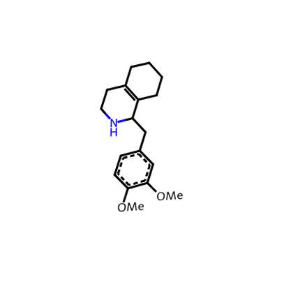 COc1ccc(CC2NCCC3=C2CCCC3)cc1OC